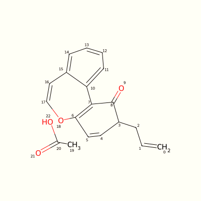 C=CCC1C=CC2=C(C1=O)c1ccccc1C=CO2.CC(=O)O